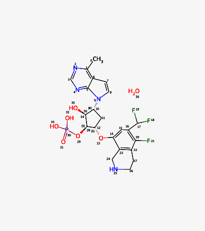 Cc1ncnc2c1ccn2[C@@H]1C[C@H](Oc2cc(C(F)F)c(F)c3c2CNCC3)[C@@H](OP(=O)(O)O)[C@H]1O.O